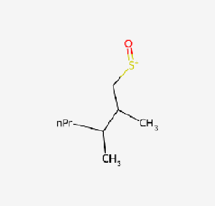 CCCC(C)C(C)C[S+]=O